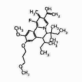 C=C(O)C1=CN2C(=C(F)C1=C)c1cc(OC)c(OCCCOC)cc1C(C(C)CC)C2C(C)(C)CC